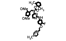 COc1ccc(OC)c(CN(C(=O)Oc2c(C)cccc2C)c2ccnc(Nc3ccc(OCCN4CCN(C)CC4)c(F)c3)n2)c1